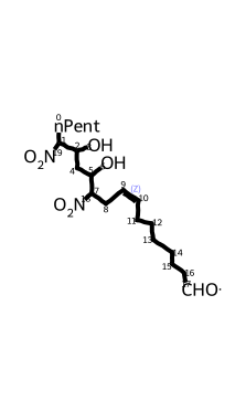 CCCCCC(C(O)CC(O)C(C/C=C\CCCCCC[C]=O)[N+](=O)[O-])[N+](=O)[O-]